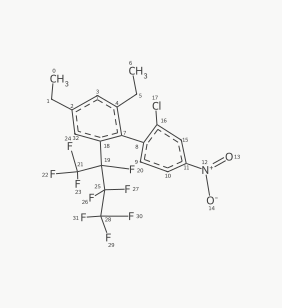 CCc1[c]c(CC)c(-c2ccc([N+](=O)[O-])cc2Cl)c(C(F)(C(F)(F)F)C(F)(F)C(F)(F)F)c1